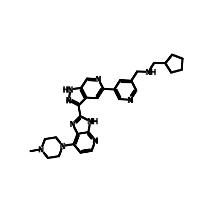 CN1CCN(c2ccnc3[nH]c(-c4n[nH]c5cnc(-c6cncc(CNCC7CCCC7)c6)cc45)nc23)CC1